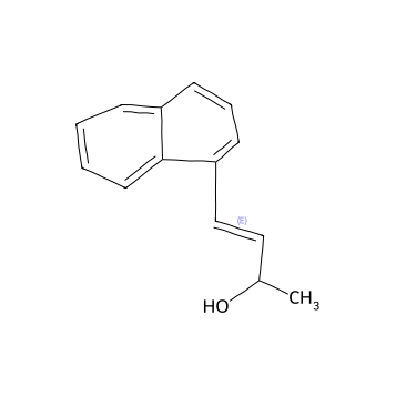 CC(O)/C=C/c1cccc2ccccc12